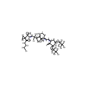 C=C1/C(=C\C=C2/CCC[C@]3(C)[C@@H](C(C)(C)/C=C/C(O)C4(C(=O)CCCC)CC4)CC[C@@H]23)C[C@@H](O[Si](C)(C)C(C)(C)C)C[C@@H]1O[Si](C)(C)C(C)(C)C